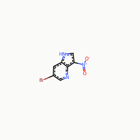 O=[N+]([O-])c1c[nH]c2cc(Br)cnc12